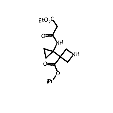 CCOC(=O)CC(=O)NC1(C2(C(=O)OC(C)C)CNC2)CC1